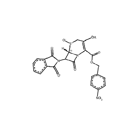 O=C(OCc1ccc([N+](=O)[O-])cc1)C1=C(O)C[S+]([O-])[C@H]2C(N3C(=O)c4ccccc4C3=O)C(=O)N12